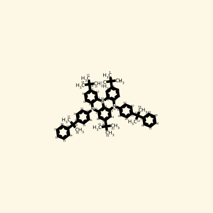 CC(C)(C)c1ccc2c(c1)B1c3cc(C(C)(C)C)ccc3N(c3ccc(C(C)(C)c4ccccc4)cc3)c3cc(C(C)(C)C)cc(c31)N2c1ccc(C(C)(C)c2ccccc2)cc1